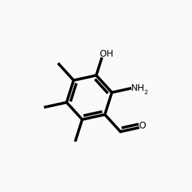 Cc1c(C)c(O)c(N)c(C=O)c1C